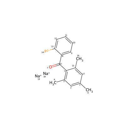 Cc1cc(C)c(C(=O)c2ccccc2[P-2])c(C)c1.[Na+].[Na+]